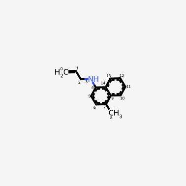 C=CCNc1ccc(C)c2ccccc12